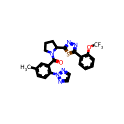 Cc1ccc(-n2nccn2)c(C(=O)N2CCCC2c2nnc(-c3ccccc3OC(F)(F)F)s2)c1